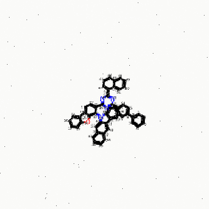 c1ccc(-c2ccc(-c3nc(-c4ccc5c(oc6ccccc65)c4-n4c5ccccc5c5cc6ccccc6cc54)nc(-c4cccc5ccccc45)n3)cc2)cc1